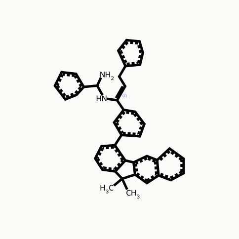 CC1(C)c2cc3ccccc3cc2-c2c(-c3cccc(/C(=C/Cc4ccccc4)NC(N)c4ccccc4)c3)cccc21